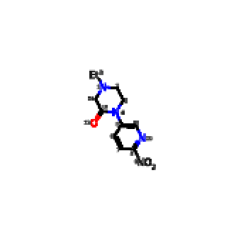 CCN1CCN(c2ccc([N+](=O)[O-])nc2)C(=O)C1